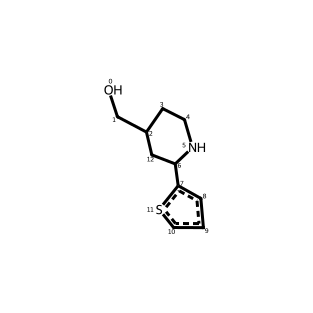 OCC1CCNC(c2cccs2)C1